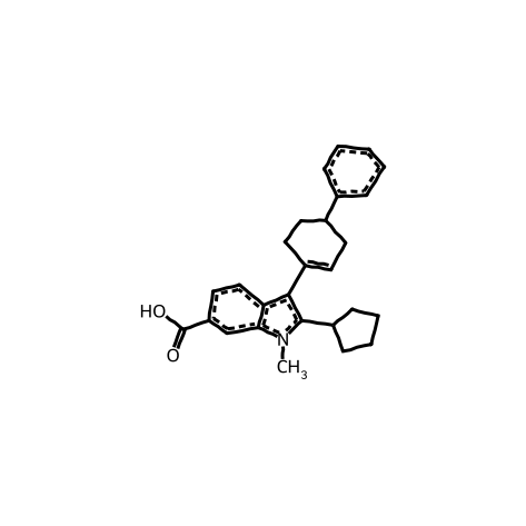 Cn1c(C2CCCC2)c(C2=CCC(c3ccccc3)CC2)c2ccc(C(=O)O)cc21